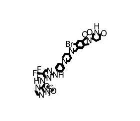 CN(Cc1cc2c(cc1Br)C(=O)N(C1CCC(=O)NC1=O)C2)C1CCN(c2ccc(Nc3ncc(C(F)(F)F)c(NCc4nccnc4N(C)S(C)(=O)=O)n3)cc2)CC1